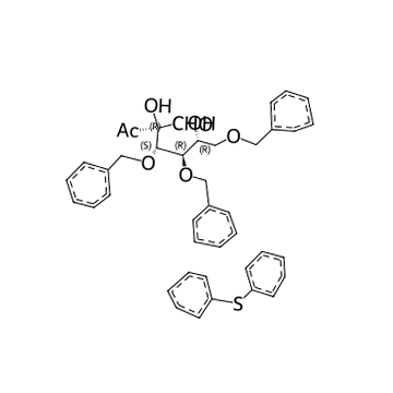 CC(=O)[C@](O)(C=O)[C@@H](OCc1ccccc1)[C@H](OCc1ccccc1)[C@H](O)COCc1ccccc1.c1ccc(Sc2ccccc2)cc1